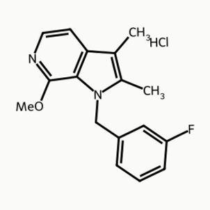 COc1nccc2c(C)c(C)n(Cc3cccc(F)c3)c12.Cl